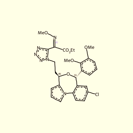 CCOC(=O)/C(=N/OC)c1nnnn1CC[C@H]1O[C@H](c2cccc(OC)c2OC)c2cc(Cl)ccc2-n2cccc21